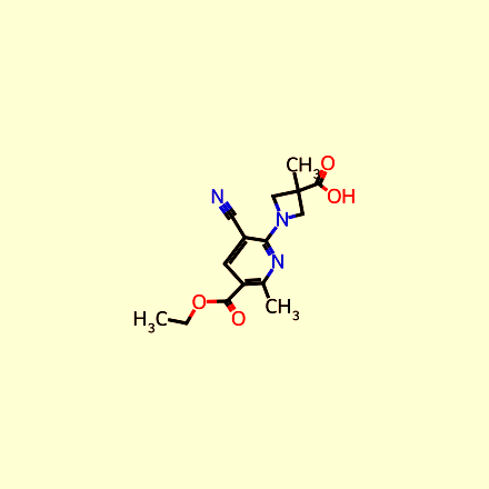 CCOC(=O)c1cc(C#N)c(N2CC(C)(C(=O)O)C2)nc1C